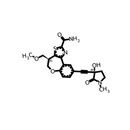 COC[C@@H]1COc2ccc(C#C[C@]3(O)CCN(C)C3=O)cc2-c2nc(C(N)=O)sc21